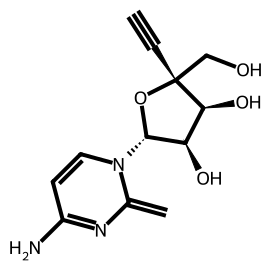 C#C[C@]1(CO)O[C@@H](N2C=CC(N)=NC2=C)[C@H](O)[C@@H]1O